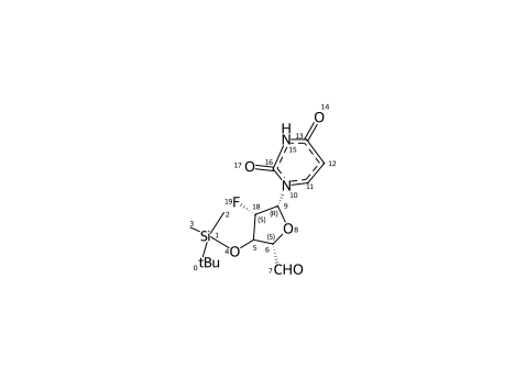 CC(C)(C)[Si](C)(C)OC1[C@@H](C=O)O[C@@H](n2ccc(=O)[nH]c2=O)[C@H]1F